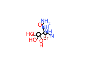 N#Cc1[nH]c(CNC(=O)CN)c(-c2ccc(CO)c(CO)c2CO)c1Br